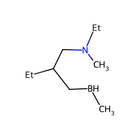 CBCC(CC)CN(C)CC